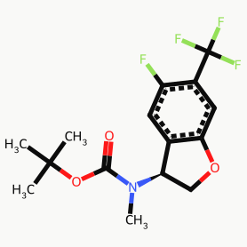 CN(C(=O)OC(C)(C)C)[C@@H]1COc2cc(C(F)(F)F)c(F)cc21